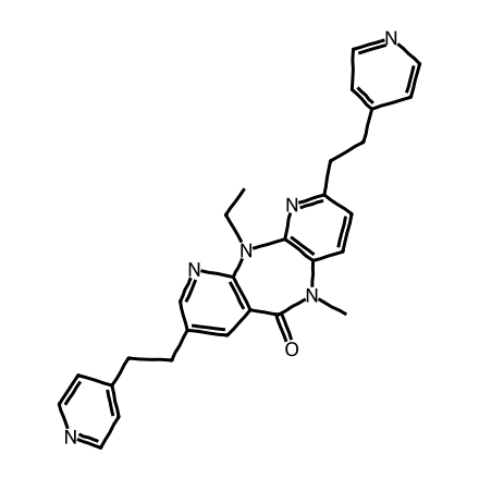 CCN1c2ncc(CCc3ccncc3)cc2C(=O)N(C)c2ccc(CCc3ccncc3)nc21